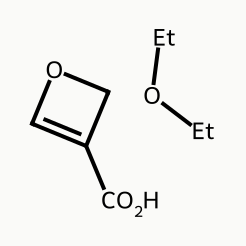 CCOCC.O=C(O)C1=COC1